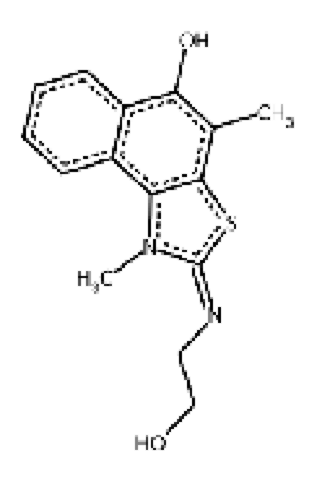 Cc1c(O)c2ccccc2c2c1sc(=NCCO)n2C